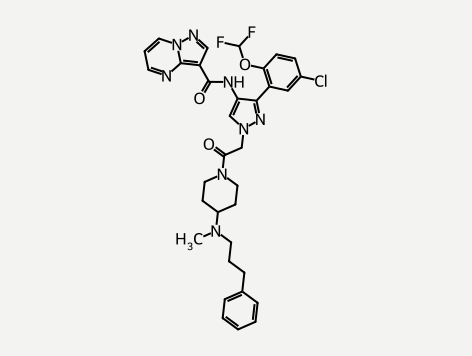 CN(CCCc1ccccc1)C1CCN(C(=O)Cn2cc(NC(=O)c3cnn4cccnc34)c(-c3cc(Cl)ccc3OC(F)F)n2)CC1